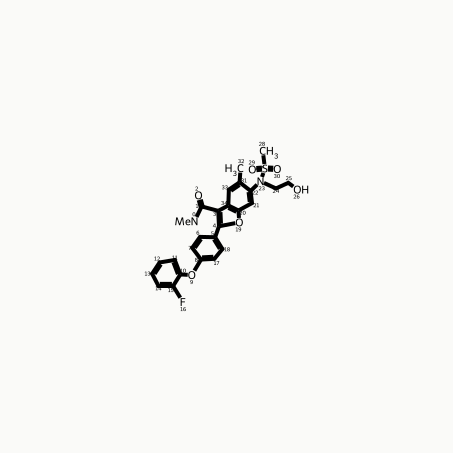 CNC(=O)c1c(-c2ccc(Oc3ccccc3F)cc2)oc2cc(N(CCO)S(C)(=O)=O)c(C)cc12